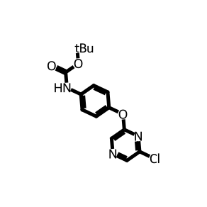 CC(C)(C)OC(=O)Nc1ccc(Oc2cncc(Cl)n2)cc1